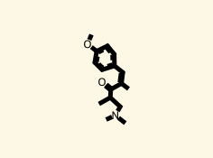 COc1ccc(C=C(C)C(=O)C(C)CN(C)C)cc1